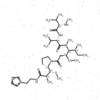 CC[C@H](C)[C@@H]([C@H](CC(=O)N1CCC[C@H]1[C@H](OC)[C@@H](C)C(=O)NCCn1ccnc1)OC)N(C)C(=O)[C@@H](NC(=O)[C@@H](NC)C(C)C)C(C)C